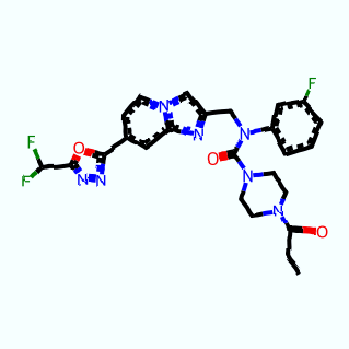 CCC(=O)N1CCN(C(=O)N(Cc2cn3ccc(-c4nnc(C(F)F)o4)cc3n2)c2cccc(F)c2)CC1